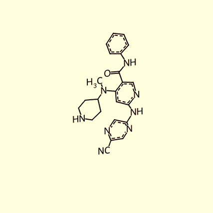 CN(c1cc(Nc2cnc(C#N)cn2)ncc1C(=O)Nc1ccccc1)C1CCNCC1